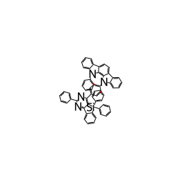 c1ccc(-c2nc(-c3ccc(-n4c5ccccc5c5ccc6c7ccccc7n(-c7ccccc7)c6c54)cc3)c3c(n2)-c2ccccc2[Si]3(c2ccccc2)c2ccccc2)cc1